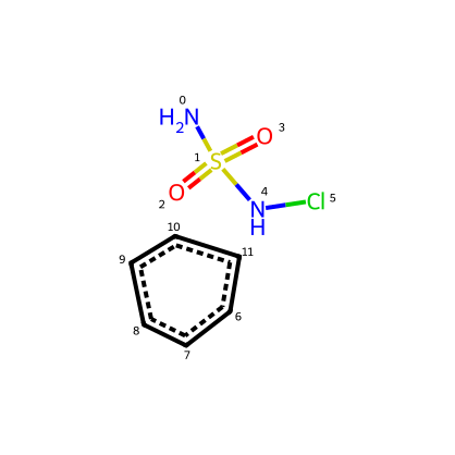 NS(=O)(=O)NCl.c1ccccc1